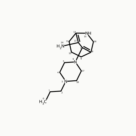 CCCN1CCN(C2=C3CCCC(=C2N)NC3)CC1